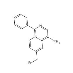 Cc1cnc(-c2ccccc2)c2ccc(CC(C)C)cc12